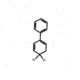 BrC1(Br)C=CC(c2ccccc2)=CC1